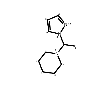 CC(N1CCCCC1)n1cc[c]n1